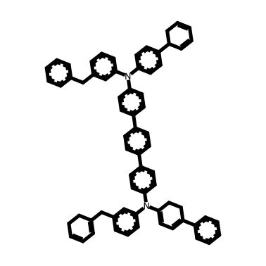 C1=CCCC(Cc2cccc(N(C3=CC=C(c4ccccc4)CC3)c3ccc(-c4ccc(-c5ccc(N(c6ccc(C7C=CC=CC7)cc6)c6cccc(Cc7ccccc7)c6)cc5)cc4)cc3)c2)=C1